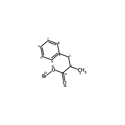 CC(Cc1ccccc1)C(=O)OBr